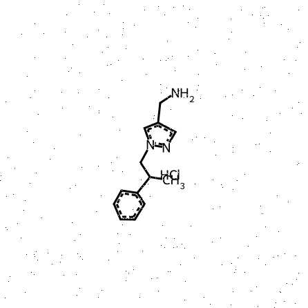 CC(Cn1cc(CN)cn1)c1ccccc1.Cl